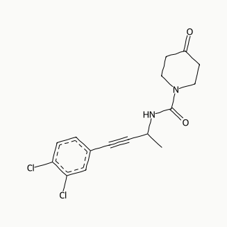 CC(C#Cc1ccc(Cl)c(Cl)c1)NC(=O)N1CCC(=O)CC1